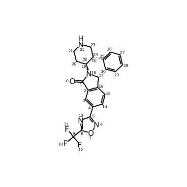 O=C1c2cc(-c3noc(C(F)(F)F)n3)ccc2CN1[C@H]1CCNC[C@@H]1c1ccccc1